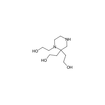 OCCN1CCNCC1(CCO)CCO